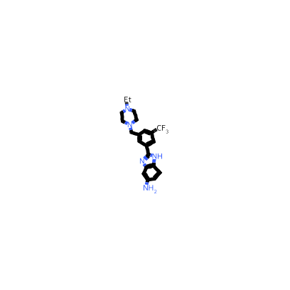 CCN1CCN(Cc2cc(-c3nc4cc(N)ccc4[nH]3)cc(C(F)(F)F)c2)CC1